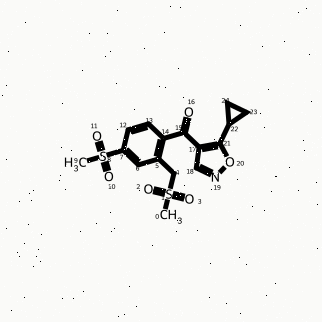 CS(=O)(=O)Cc1cc(S(C)(=O)=O)ccc1C(=O)c1cnoc1C1CC1